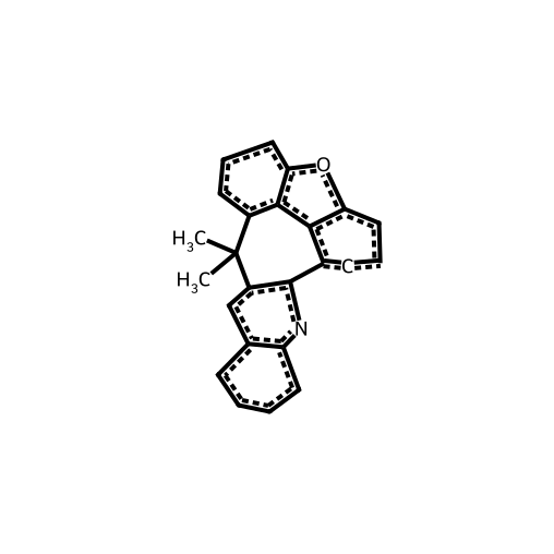 CC1(C)c2cc3ccccc3nc2-c2cccc3oc4cccc1c4c23